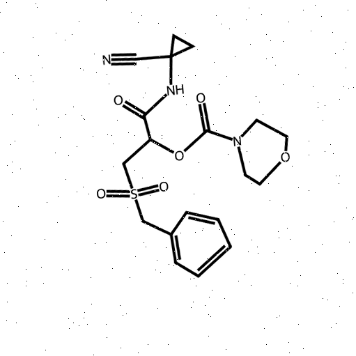 N#CC1(NC(=O)C(CS(=O)(=O)Cc2ccccc2)OC(=O)N2CCOCC2)CC1